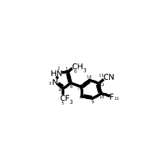 Cc1[nH]nc(C(F)(F)F)c1-c1ccc(F)c(C#N)c1